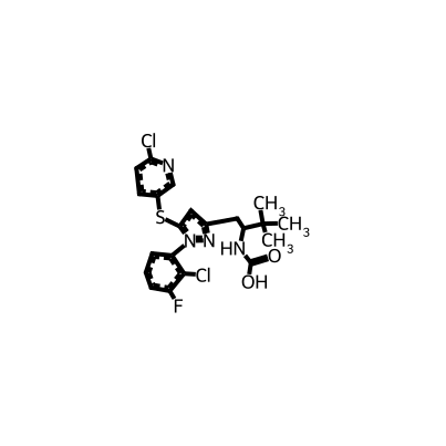 CC(C)(C)C(Cc1cc(Sc2ccc(Cl)nc2)n(-c2cccc(F)c2Cl)n1)NC(=O)O